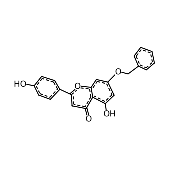 O=c1cc(-c2ccc(O)cc2)oc2cc(OCc3ccccc3)cc(O)c12